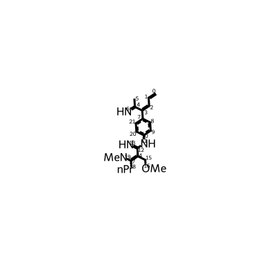 C=C/C=C(\C(C)=N)c1ccc(NC(=N)/C(COC)=C(/CCC)NC)cc1